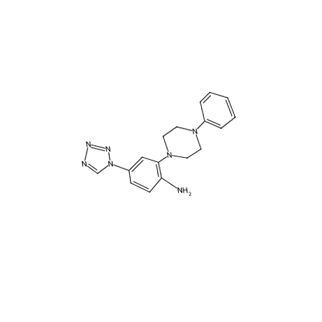 Nc1ccc(-n2cnnn2)cc1N1CCN(c2ccccc2)CC1